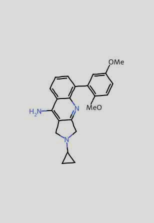 COc1ccc(OC)c(-c2cccc3c(N)c4c(nc23)CN(C2CC2)C4)c1